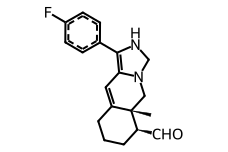 C[C@]12CN3CNC(c4ccc(F)cc4)=C3C=C1CCC[C@@H]2C=O